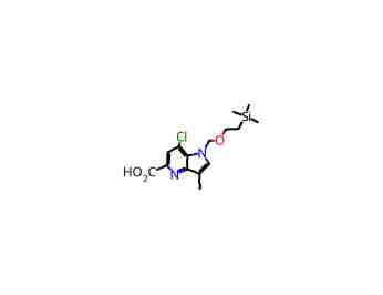 Cc1cn(COCC[Si](C)(C)C)c2c(Cl)cc(C(=O)O)nc12